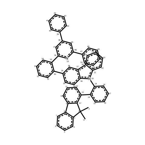 CC1(C)c2ccccc2-c2cccc(-c3ccccc3-n3c4ccccc4c4cc(-c5ccccc5-c5cc(-c6ccccc6)cc(-c6ccccc6)n5)ccc43)c21